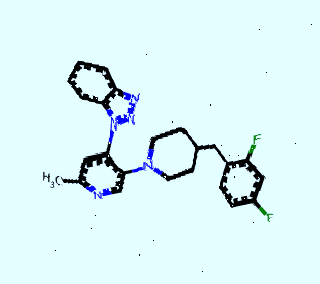 Cc1cc(-n2nnc3ccccc32)c(N2CCC(Cc3ccc(F)cc3F)CC2)cn1